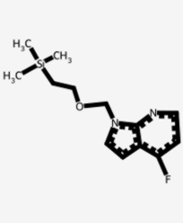 C[Si](C)(C)CCOCn1ccc2c(F)ccnc21